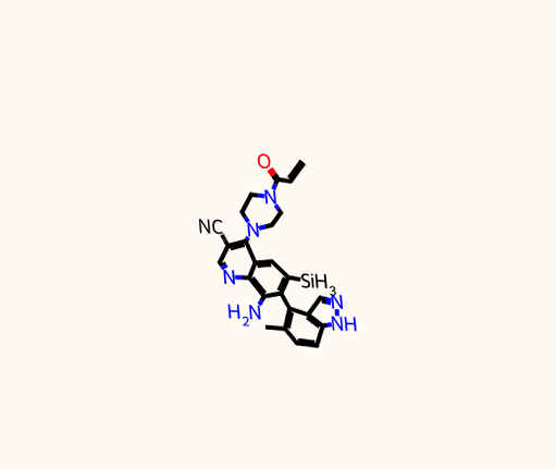 C=CC(=O)N1CCN(c2c(C#N)cnc3c(N)c(-c4c(C)ccc5[nH]ncc45)c([SiH3])cc23)CC1